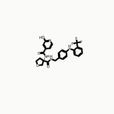 O=C(N[C@@]1(C(=O)NCc2ccc(Nc3ccccc3C(F)(F)F)cc2)CCOC1)c1ccnc(O)c1